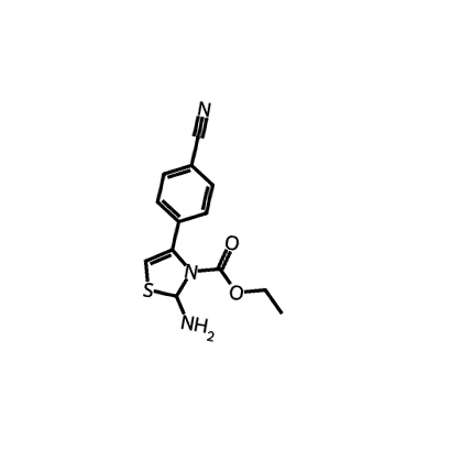 CCOC(=O)N1C(c2ccc(C#N)cc2)=CSC1N